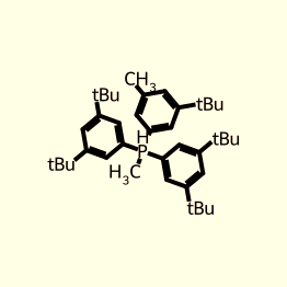 Cc1cc(C(C)(C)C)cc([PH](C)(c2cc(C(C)(C)C)cc(C(C)(C)C)c2)c2cc(C(C)(C)C)cc(C(C)(C)C)c2)c1